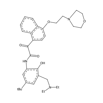 CCN(CC)Cc1cc(C(C)(C)C)cc(NC(=O)C(=O)c2ccc(OCCN3CCOCC3)c3ccccc23)c1O